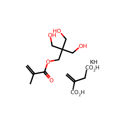 C=C(C)C(=O)OCC(CO)(CO)CO.C=C(CC(=O)O)C(=O)O.[KH]